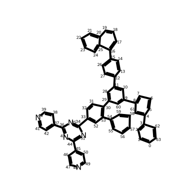 c1ccc(-c2cccc(-c3cc(-c4ccc(-c5cccc6ccccc56)cc4)cc(-c4ccc(-c5nc(-c6ccncc6)nc(-c6ccncc6)n5)cc4-c4ccccc4)c3)c2)cc1